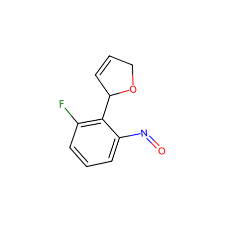 O=Nc1cccc(F)c1C1C=CCO1